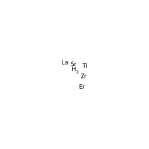 [Er].[La].[SrH2].[Ti].[Zr]